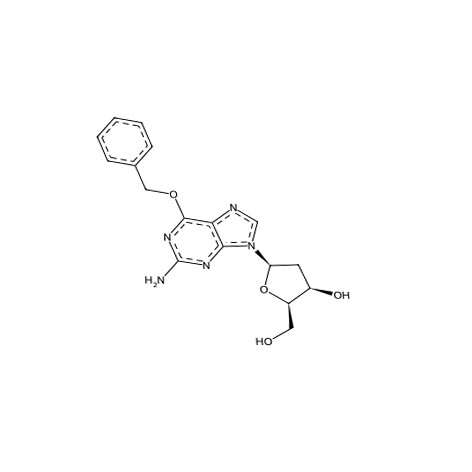 Nc1nc(OCc2ccccc2)c2ncn([C@H]3C[C@@H](O)[C@@H](CO)O3)c2n1